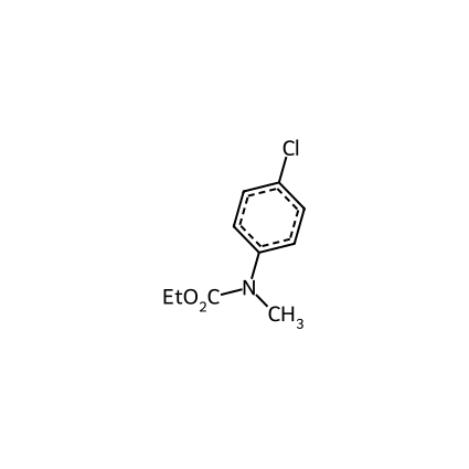 CCOC(=O)N(C)c1ccc(Cl)cc1